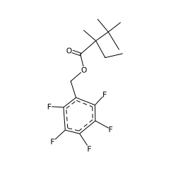 CCC(C)(C(=O)OCc1c(F)c(F)c(F)c(F)c1F)C(C)(C)C